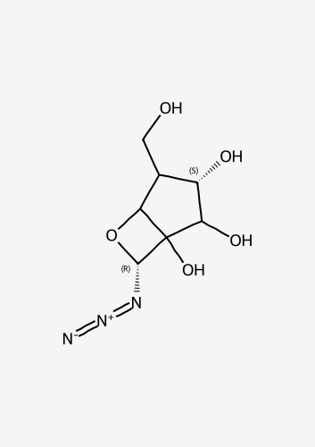 [N-]=[N+]=N[C@@H]1OC2C(CO)[C@H](O)C(O)C21O